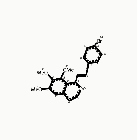 COc1cc2ccnc(/C=C/c3ccc(Br)cc3)c2c(OC)c1OC